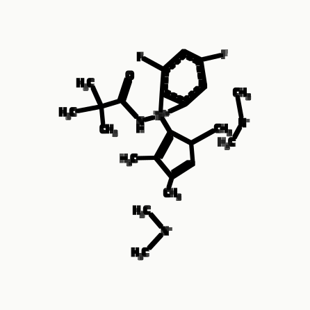 CC1=CC(C)[C]([Ti+2]2([NH]C(=O)C(C)(C)C)[c]3cc(F)cc(F)[c]32)=C1C.C[N-]C.C[N-]C